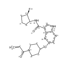 C=CC(=O)N1CCC(Oc2cnc3[nH]cc(C(=O)NC4CCC[C@H]4F)c3n2)CC1